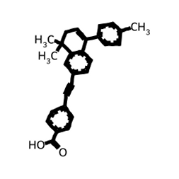 Cc1ccc(C2=CCC(C)(C)c3cc(C#Cc4ccc(C(=O)O)cc4)ccc32)cc1